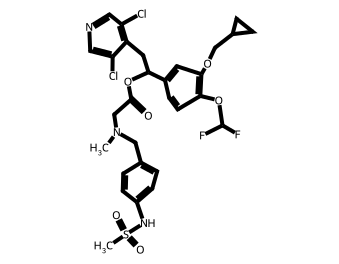 CN(CC(=O)OC(Cc1c(Cl)cncc1Cl)c1ccc(OC(F)F)c(OCC2CC2)c1)Cc1ccc(NS(C)(=O)=O)cc1